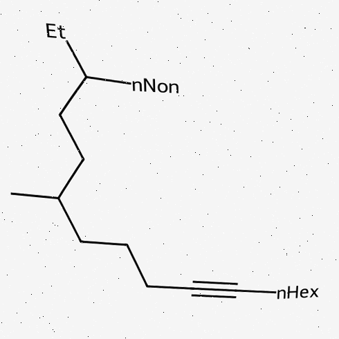 [CH2]CCCCCC#CCCCC(C)CCC(CC)CCCCCCCC[CH2]